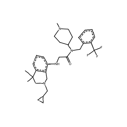 CN1CCC(N(Cc2ccccc2C(F)(F)F)C(=O)CNc2cccc3c2CN(CC2CC2)CC3(C)C)CC1